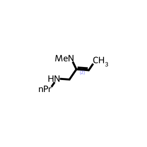 C/C=C(/CNCCC)NC